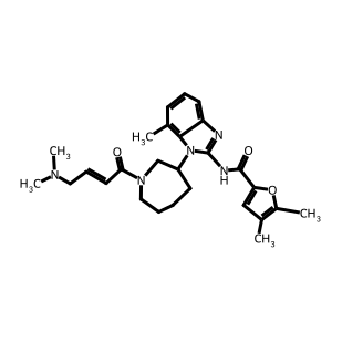 Cc1cc(C(=O)Nc2nc3cccc(C)c3n2C2CCCCN(C(=O)C=CCN(C)C)C2)oc1C